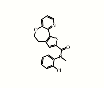 CN(C(=O)c1cc2c(s1)-c1ncccc1OCC2)c1ccccc1Cl